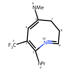 CCCC1=C(C(F)(F)F)/C=C(/NC)CC\C=N\1